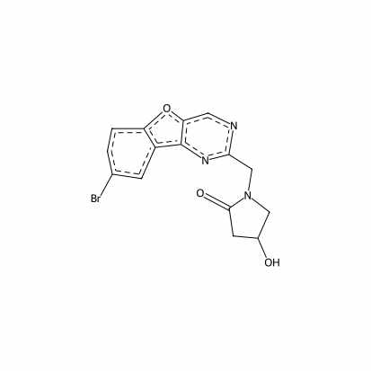 O=C1CC(O)CN1Cc1ncc2oc3ccc(Br)cc3c2n1